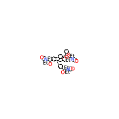 CCC(CC)(C(=O)c1ccc(CC2(Cc3ccc(C(=O)C(CC)(CC)N4CCOCC4)cc3)c3cc(C(=O)c4ccccc4)ccc3-c3ccc(C(=O)C(CC)(CC)N4CCOCC4)cc32)cc1)N1CCOCC1